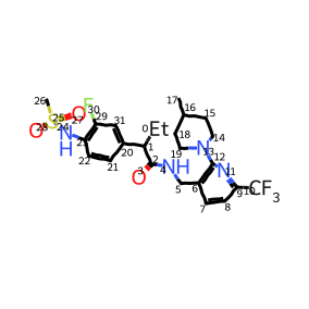 CCC(C(=O)NCc1ccc(C(F)(F)F)nc1N1CCC(C)CC1)c1ccc(NS(C)(=O)=O)c(F)c1